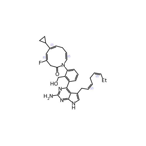 CC/C=C\C/C=C\Cc1c[nH]c2nc(N)nc(-c3cccc(N4/C=C\C/C=C(C5CC5)\C=C(\F)CC4=O)c3CO)c12